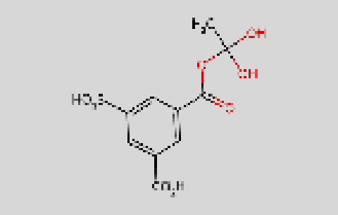 CC(O)(O)OC(=O)c1cc(C(=O)O)cc(S(=O)(=O)O)c1